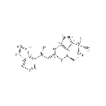 C[C@H]1C/C(=C/C(=O)c2cccc3[nH]ncc23)Cc2onc(C(C)(O)C(F)(F)F)c21